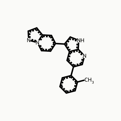 Cc1ccccc1-c1cnc2[nH]cc(-c3ccn4nccc4c3)c2c1